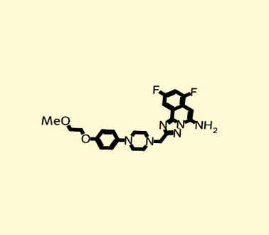 COCCOc1ccc(N2CCN(Cc3nc4c5cc(F)cc(F)c5cc(N)n4n3)CC2)cc1